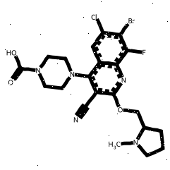 CN1CCCC1COc1nc2c(F)c(Br)c(Cl)cc2c(N2CCN(C(=O)O)CC2)c1C#N